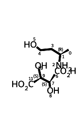 C[C@@H](N)CCO.O=C(O)[C@@H](O)[C@H](O)C(=O)O